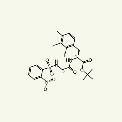 Cc1ccc(C[C@H](NC(=O)[C@H](C)NS(=O)(=O)c2ccccc2[N+](=O)[O-])C(=O)OC(C)(C)C)c(F)c1F